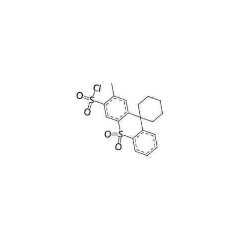 Cc1cc2c(cc1S(=O)(=O)Cl)S(=O)(=O)c1ccccc1C21CCCCC1